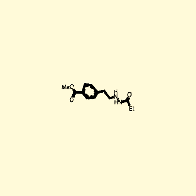 CCC(=O)NNCCc1ccc(C(=O)OC)cc1